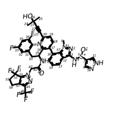 Cn1nc(N[S+]([O-])c2cn[nH]c2)c2cccc(-c3ccc(C#CC(C)(C)O)nc3C(Cc3cc(F)cc(F)c3)NC(=O)Cn3nc(C(F)(F)F)c4c3C(F)(F)CC4)c21